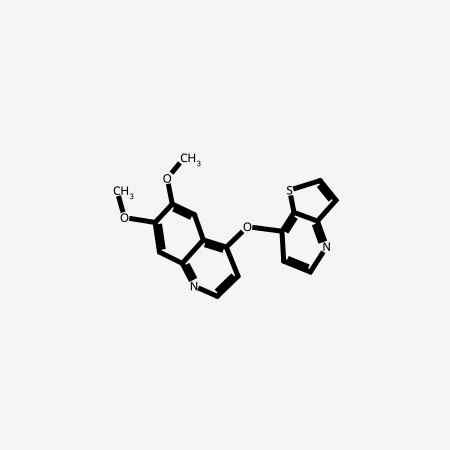 COc1cc2nccc(Oc3ccnc4ccsc34)c2cc1OC